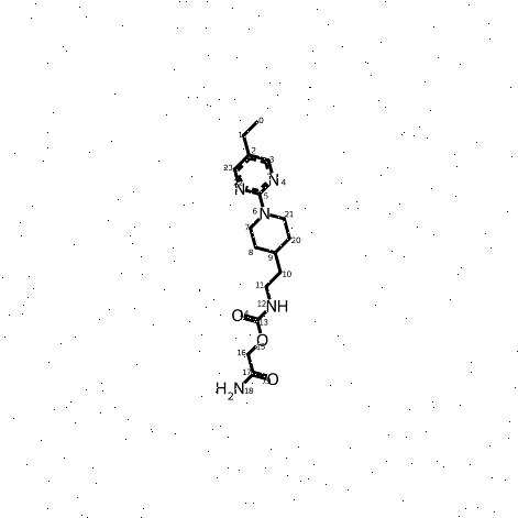 CCc1cnc(N2CCC(CCNC(=O)OCC(N)=O)CC2)nc1